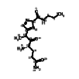 CCCNC(=O)n1nnc([C](C)C(=O)[C@@H](N)CCC(N)=O)n1